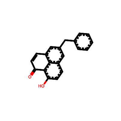 O=C1C=Cc2cc(Cc3ccccc3)cc3ccc(O)c1c23